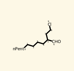 CCCCCCCCCC(C=O)CCCl